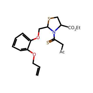 C=CCOc1ccccc1OCC1SCC(C(=O)OCC)N1C(=S)CC(C)=O